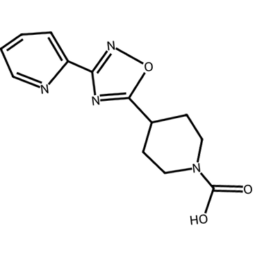 O=C(O)N1CCC(c2nc(-c3ccccn3)no2)CC1